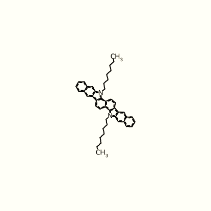 CCCCCCCCn1c2cc3ccccc3cc2c2ccc3c(ccc4c5cc6ccccc6cc5n(CCCCCCCC)c43)c21